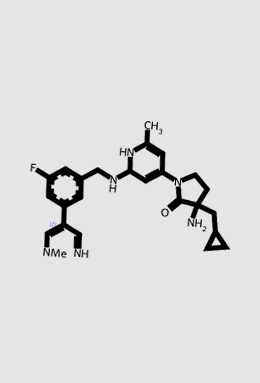 CN/C=C(\C=N)c1cc(F)cc(CNC2C=C(N3CCC(N)(CC4CC4)C3=O)C=C(C)N2)c1